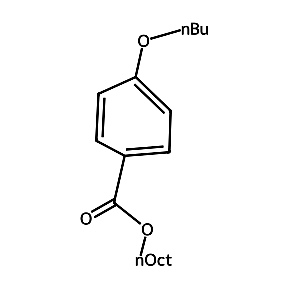 CCCCCCCCOC(=O)c1ccc(OCCCC)cc1